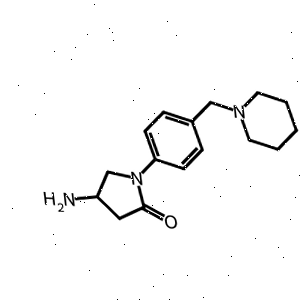 NC1CC(=O)N(c2ccc(CN3CCCCC3)cc2)C1